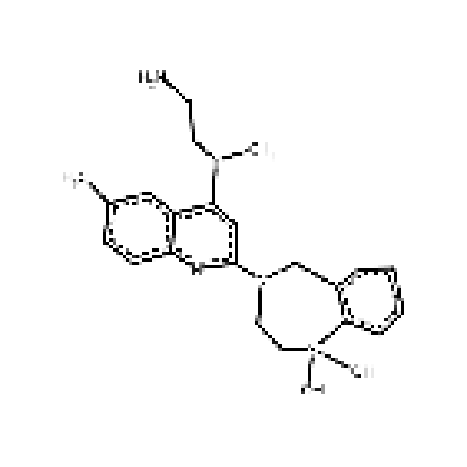 Cc1ccc2nc(N3CCS(O)(O)c4ccccc4C3)cc(N(C)CCN)c2c1